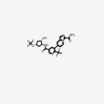 NC(=O)c1ncc2cc(-c3cc(C(=O)N[C@H]4C[C@H](OC(F)(F)F)C[C@@H]4O)cnc3C(F)(F)F)ccn12